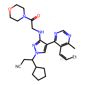 CC/C=C\c1c(C)ncnc1-c1cn(C(CC#N)C2CCCC2)nc1NCC(=O)N1CCOCC1